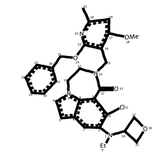 CCN(c1cc2ccn3c2c(c1Cl)C(=O)N(Cc1c(OC)cc(C)nc1OCc1ccccc1)CC3)C1COC1